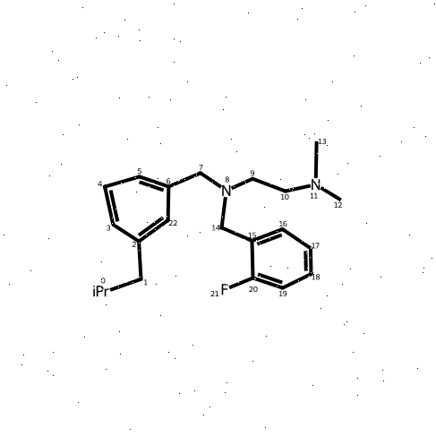 CC(C)Cc1cccc(CN(CCN(C)C)Cc2ccccc2F)c1